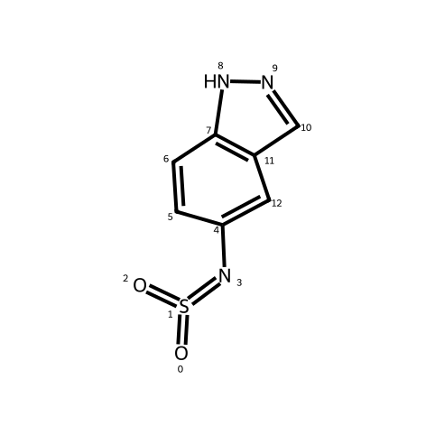 O=S(=O)=Nc1ccc2[nH]ncc2c1